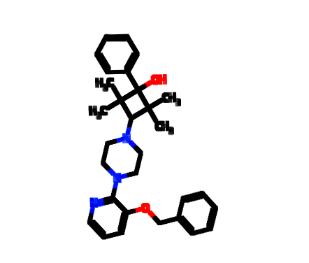 CC1(C)C(N2CCN(c3ncccc3OCc3ccccc3)CC2)C(C)(C)C1(O)c1ccccc1